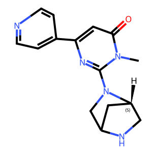 Cn1c(N2CC3C[C@H]2CN3)nc(-c2ccncc2)cc1=O